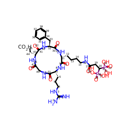 N=C(N)NCCC[C@H]1NC(=O)[C@@H](CCCCNC(=O)CC(P(=O)(O)O)P(=O)(O)O)NC(=O)[C@H](Cc2ccccc2)NC(=O)[C@@H](CC(=O)O)NC(=O)CNC1=O